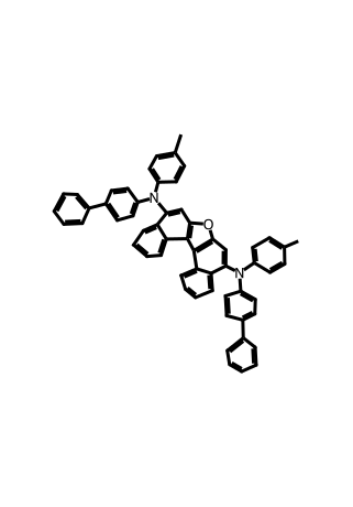 Cc1ccc(N(c2ccc(-c3ccccc3)cc2)c2cc3oc4cc(N(c5ccc(C)cc5)c5ccc(-c6ccccc6)cc5)c5ccccc5c4c3c3ccccc23)cc1